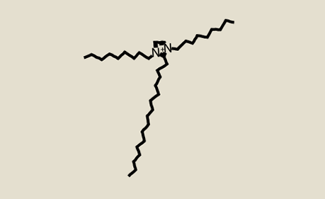 CCCCCCCCCCCCCCCCc1n(CCCCCCCCC)cc[n+]1CCCCCCCCC